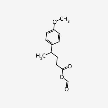 COc1ccc(C(C)CCC(=O)OC=O)cc1